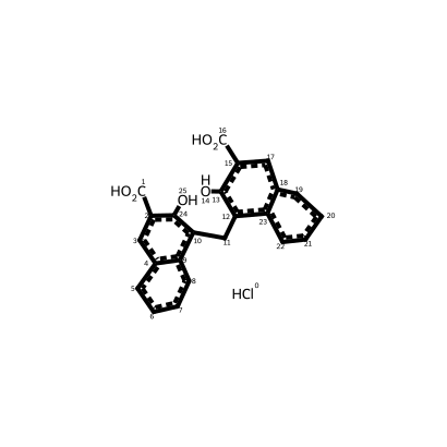 Cl.O=C(O)c1cc2ccccc2c(Cc2c(O)c(C(=O)O)cc3ccccc23)c1O